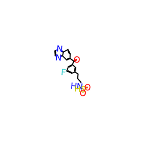 O=C(c1cc(F)cc(CCCN[SH](=O)=O)c1)c1ccc2nccnc2c1